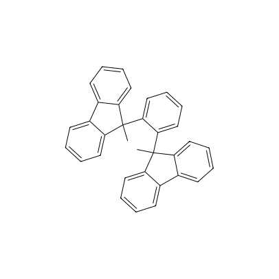 CC1(c2ccccc2C2(C)c3ccccc3-c3ccccc32)c2ccccc2-c2ccccc21